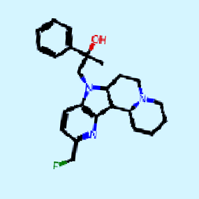 CC(O)(CN1c2ccc(CF)nc2C2C3CCCCN3CCC21)c1ccccc1